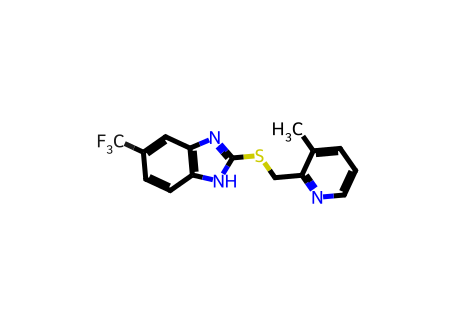 Cc1cccnc1CSc1nc2cc(C(F)(F)F)ccc2[nH]1